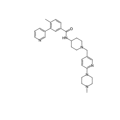 Cc1ccc(C(=O)NC2CCN(Cc3ccc(N4CCN(C)CC4)nc3)CC2)cc1-c1cccnc1